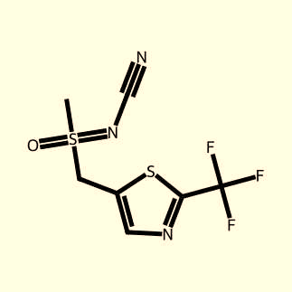 CS(=O)(Cc1cnc(C(F)(F)F)s1)=NC#N